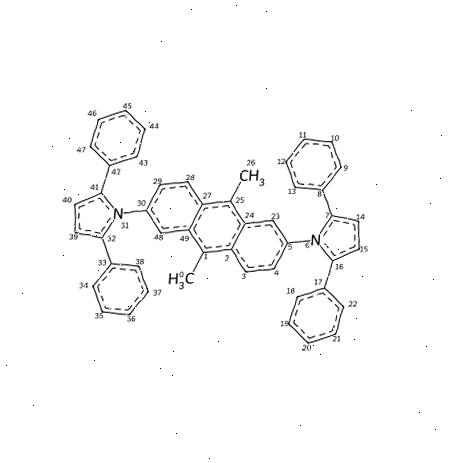 Cc1c2ccc(-n3c(-c4ccccc4)ccc3-c3ccccc3)cc2c(C)c2ccc(-n3c(-c4ccccc4)ccc3-c3ccccc3)cc12